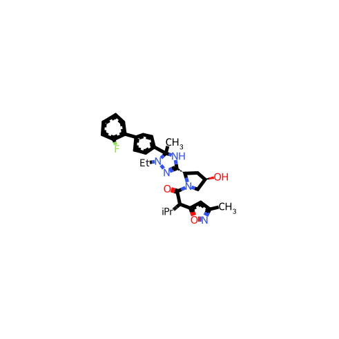 CCN1N=C([C@@H]2C[C@@H](O)CN2C(=O)C(c2cc(C)no2)C(C)C)NC1(C)c1ccc(-c2ccccc2F)cc1